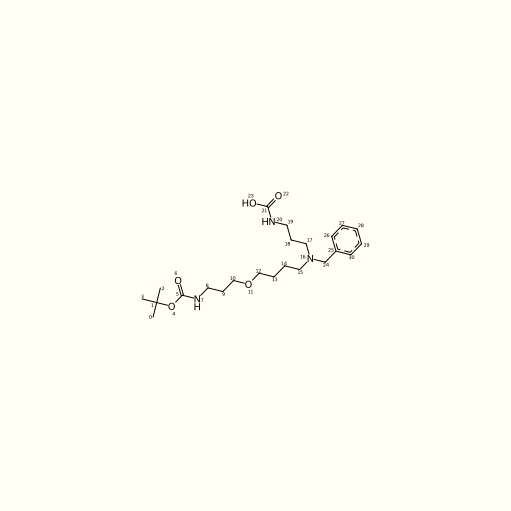 CC(C)(C)OC(=O)NCCCOCCCCN(CCCNC(=O)O)Cc1ccccc1